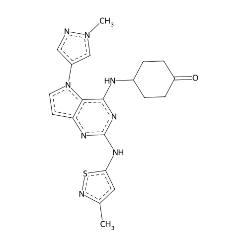 Cc1cc(Nc2nc(NC3CCC(=O)CC3)c3c(ccn3-c3cnn(C)c3)n2)sn1